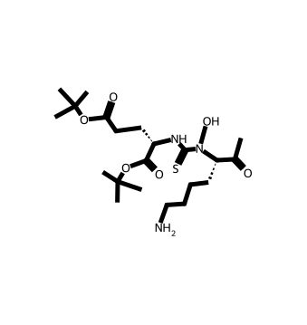 CC(=O)[C@H](CCCCN)N(O)C(=S)N[C@@H](CCC(=O)OC(C)(C)C)C(=O)OC(C)(C)C